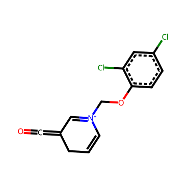 O=C=C1C=[N+](COc2ccc(Cl)cc2Cl)C=CC1